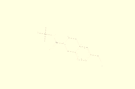 CC(C)(C)OC(=O)N1CCc2cc(CF)cnc2C1